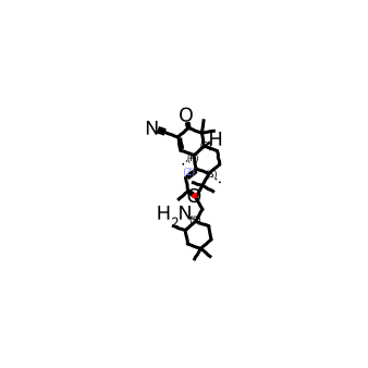 CC(=O)/C=C1/[C@@]2(C)C=C(C#N)C(=O)C(C)(C)[C@@H]2CC[C@@]1(C)C(C)(C)CC[C@@]1(N)CCC(C)(C)CC1C